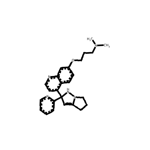 CN(C)CCCOc1ccc2c(C3(c4ccccn4)C=C4CCCN4N3)ccnc2c1